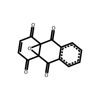 O=C1C=CC(=O)C23OC12C(=O)c1ccccc1C3=O